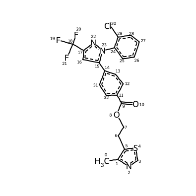 Cc1ncsc1CCOC(=O)c1ccc(-c2cc(C(F)(F)F)nn2-c2ccccc2Cl)cc1